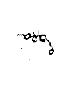 O=Cc1ccc(-n2ccnc(NC3CCN(CCOc4ccccc4)CC3)c2=O)cc1